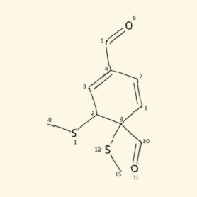 CSC1C=C(C=O)C=CC1(C=O)SC